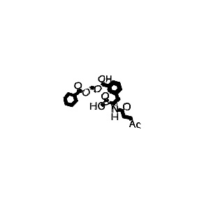 CC(=O)CCC(=O)N[C@H]1Cc2cccc(C(O)OCOC(=O)C3CCCCC3)c2OB1O